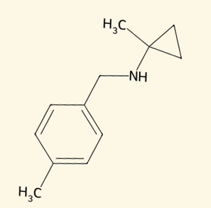 Cc1ccc(CNC2(C)CC2)cc1